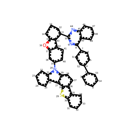 c1ccc(-c2ccc(-c3nc(-c4cccc5oc6cc(-n7c8ccccc8c8c9sc%10ccccc%10c9ccc87)ccc6c45)nc4ccccc34)cc2)cc1